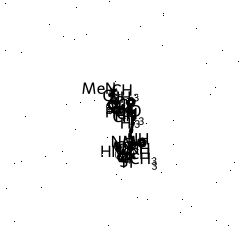 CNCC(=O)N[C@H]1CCS[C@H]2CC(C)(C)[C@@H](C(=O)N[C@H](C(=O)NCC#CC#CCNC(=O)[C@@H](NC(=O)[C@H]3N4C(=O)[C@@H](NC(=O)[C@H](C)NC)CCS[C@H]4CC3(C)C)c3ccccc3)c3ccccc3)N2C1=O